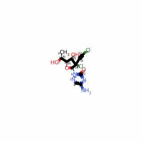 C[C@@H](O)[C@H]1O[C@@H](n2ncc(N)nc2=O)C(Cl)(C#CCl)[C@H]1O